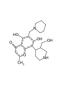 Cc1cc(=O)c2c(O)c(CN3CCCCC3)c(O)c(C3CCNCC3CO)c2o1